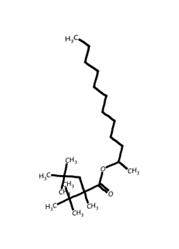 CCCCCCCCCCC(C)OC(=O)C(C)(CC(C)(C)C)C(C)(C)C